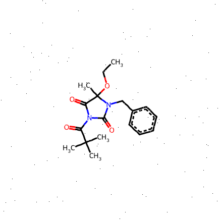 CCOC1(C)C(=O)N(C(=O)C(C)(C)C)C(=O)N1Cc1ccccc1